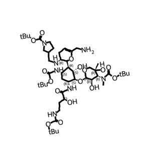 CN(C(=O)OC(C)(C)C)[C@@H]1[C@@H](O)[C@@H](O[C@@H]2[C@@H](O)[C@H](C3OC(CN)=CC[C@H]3NCC3CCN(C(=O)OC(C)(C)C)C3)[C@@H](NC(=O)OC(C)(C)C)C[C@H]2NC(=O)[C@@H](O)CCNC(=O)OC(C)(C)C)OC[C@]1(C)O